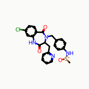 C[S+]([O-])Nc1ccc(CN2C(=O)c3ccc(Cl)cc3NC(=O)C2Cc2ccccn2)cc1